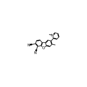 Cc1cc2oc3c(C#N)c(C#N)ccc3c2cc1-c1cccc[n+]1C